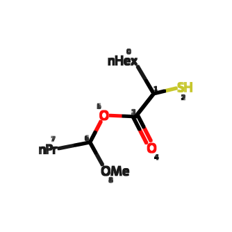 CCCCCCC(S)C(=O)OC(CCC)OC